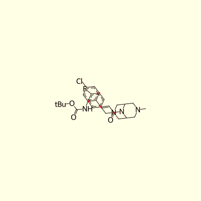 CN1CC2CN(Cc3ccc(F)cc3)CC(C1)N2C(=O)C=Cc1ccc(Cl)cc1NC(=O)OC(C)(C)C